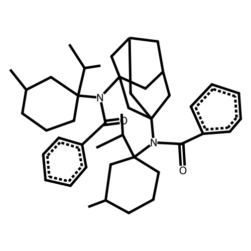 CC1CCCC(C(C)C)(N(C(=O)c2ccccc2)C23CC4CC(C2)CC(N(C(=O)c2ccccc2)C2(C(C)C)CCCC(C)C2)(C4)C3)C1